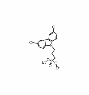 CCOP(=O)(CCCn1c2ccc(Cl)cc2c2cc(Cl)ccc21)OCC